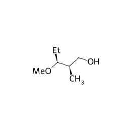 CC[C@H](OC)[C@H](C)CO